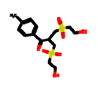 Cc1ccc(C(=O)C(CS(=O)(=O)CCO)CS(=O)(=O)CCO)cc1